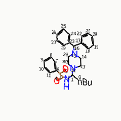 CCCCC(NS(=O)(=O)c1ccccc1)N1CCN(C(c2ccccc2)c2ccccc2)CC1